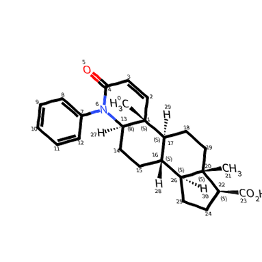 C[C@]12C=CC(=O)N(c3ccccc3)[C@@H]1CC[C@@H]1[C@@H]2CC[C@]2(C)[C@@H](C(=O)O)CC[C@@H]12